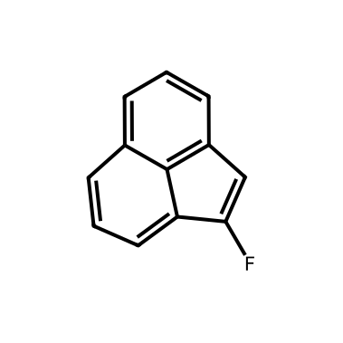 FC1=Cc2cccc3cccc1c23